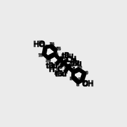 [CH2]C([CH2])(C(c1ccc(O)cc1)(C(C)(C)C)C(C)(C)C)C(c1ccc(O)cc1)(C(C)(C)C)C(C)(C)C